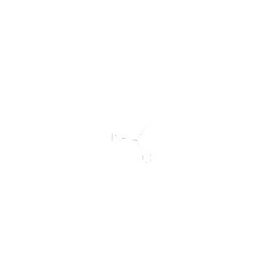 [CH2]C(S)Cl